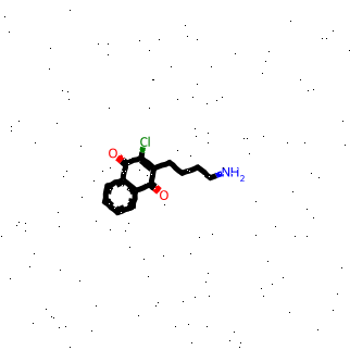 NCCCCC1=C(Cl)C(=O)c2ccccc2C1=O